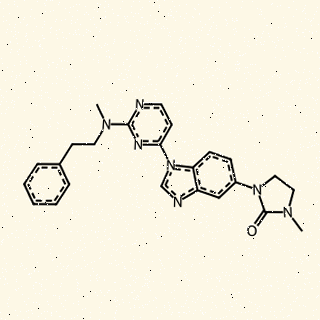 CN1CCN(c2ccc3c(c2)ncn3-c2ccnc(N(C)CCc3ccccc3)n2)C1=O